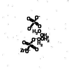 O.O.O.O.O=S(=O)([O-])[O-].O=S(=O)([O-])[O-].[Zr+4]